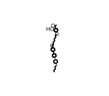 CCCCC[C@H]1CC[C@H](c2ccc(-c3ccc(OCCCCCCOc4ccc(C(C)=O)c(O)c4)cc3)cc2)CC1